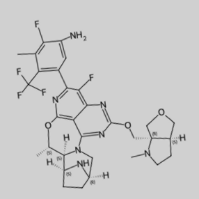 Cc1c(F)c(N)cc(-c2nc3c4c(nc(OC[C@]56COC[C@H]5CCN6C)nc4c2F)N2C[C@H]4CC[C@H](N4)[C@H]2[C@H](C)O3)c1C(F)(F)F